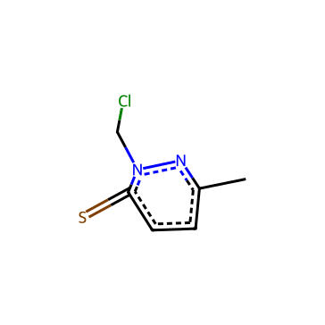 Cc1ccc(=S)n(CCl)n1